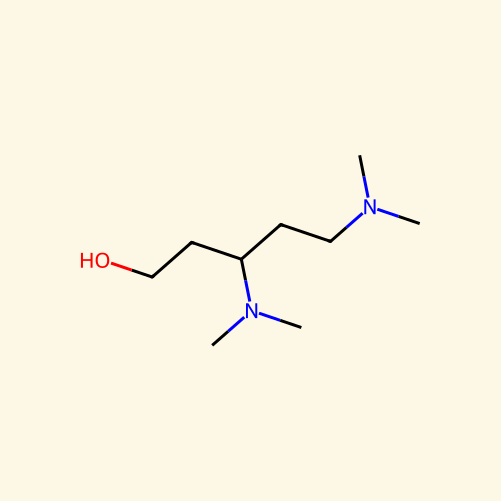 CN(C)CCC(CCO)N(C)C